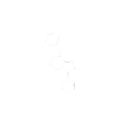 CN1N=C2C(=Cc3ccccc3)CNCC2C1c1ccccc1